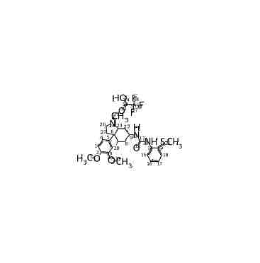 COc1ccc(C23CCC(NC(=O)Nc4ccccc4SC)CC2N(C)CC3)cc1OC.O=C(O)C(F)(F)F